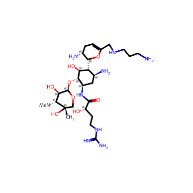 CN[C@@H]1[C@@H](O)[C@@H](O[C@H]2[C@H](NC(=O)[C@@H](O)CCNC(=N)N)C[C@H](N)C([C@H]3OC(CNCCCN)=CC[C@H]3N)[C@@H]2O)OC[C@]1(C)O